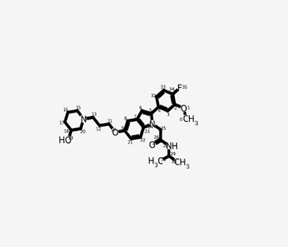 COc1cc(-c2cc3cc(OCCCN4CCCC(O)C4)ccc3n2CC(=O)NC(C)C)ccc1F